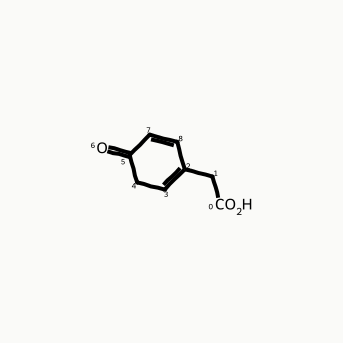 O=C(O)CC1=CCC(=O)C=C1